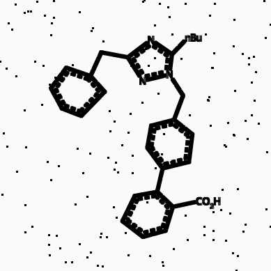 CCCCc1nc(Cc2ccccc2)nn1Cc1ccc(-c2ccccc2C(=O)O)cc1